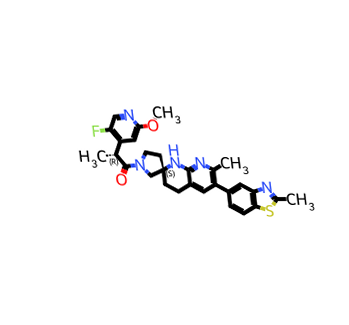 COc1cc([C@@H](C)C(=O)N2CC[C@@]3(CCc4cc(-c5ccc6sc(C)nc6c5)c(C)nc4N3)C2)c(F)cn1